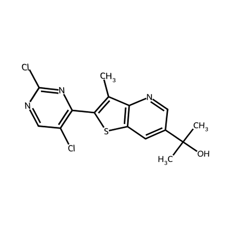 Cc1c(-c2nc(Cl)ncc2Cl)sc2cc(C(C)(C)O)cnc12